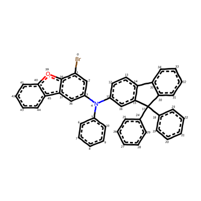 Brc1cc(N(c2ccccc2)c2ccc3c(c2)C(c2ccccc2)(c2ccccc2)c2ccccc2-3)cc2c1oc1ccccc12